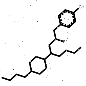 CCCCC1CCC(C(CCCC)CC(F)Cc2ccc(O)cc2)CC1